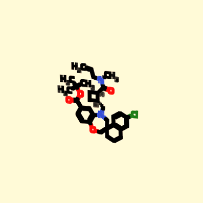 C=CCN(C)C(=O)[C@@H]1CC[C@H]1CN1CC2(CCCc3cc(Cl)ccc32)COc2ccc(C(=O)OC(C)(C)C)cc21